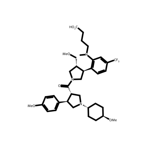 COC[C@H]1CN(C(=O)[C@@H]2CN([C@H]3CC[C@H](OC)CC3)C[C@H]2c2ccc(OC)cc2)C[C@@H]1c1ccc(C(F)(F)F)cc1N(C)CCCC(=O)O